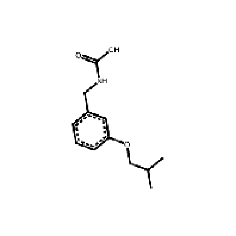 CC(C)COc1cccc(CNC(=O)O)c1